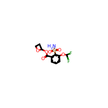 NS(=O)(=O)c1c(OC(F)F)cccc1C(=O)OC1CCO1